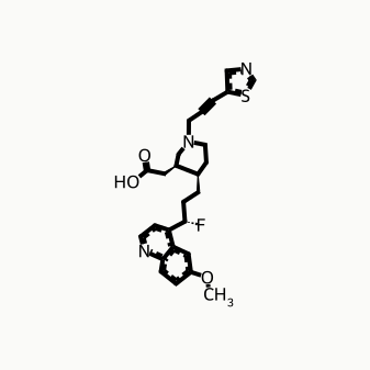 COc1ccc2nccc([C@@H](F)CC[C@@H]3CCN(CC#Cc4cncs4)C[C@@H]3CC(=O)O)c2c1